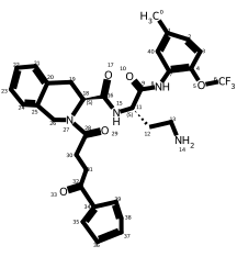 Cc1ccc(OC(F)(F)F)c(NC(=O)[C@H](CCN)NC(=O)[C@@H]2Cc3ccccc3CN2C(=O)CCC(=O)c2ccccc2)c1